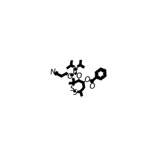 CC1C[C@H](OC(=O)c2ccccc2)[C@@H](OP(OCCC#N)N(C(C)C)C(C)C)C(C)(C)SS1